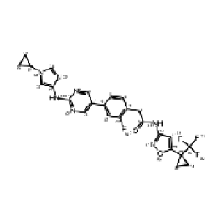 O=C(Cc1ccc(-c2cnc(Nc3cn(C4CC4)cn3)nc2)cc1F)Nc1cc(C2(C(F)(F)F)CC2)on1